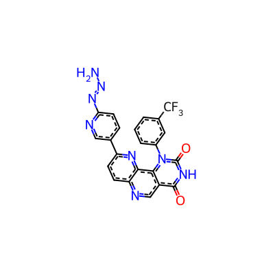 NN=Nc1ccc(-c2ccc3ncc4c(=O)[nH]c(=O)n(-c5cccc(C(F)(F)F)c5)c4c3n2)cn1